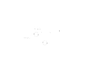 CNS(=O)(=O)c1ccc(N[C@H](CCN2CCC(OC(=O)C(=O)O)CC2)CSc2ccccc2)c(S(=O)(=O)C(F)(F)F)c1